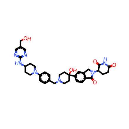 O=C1CCC(N2Cc3cc(C4(O)CCN(Cc5ccc(N6CCC(Nc7ncc(CO)cn7)CC6)cc5)CC4)ccc3C2=O)C(=O)N1